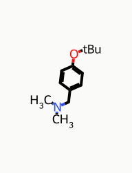 CN(C)Cc1ccc(OC(C)(C)C)cc1